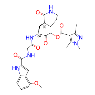 COc1cccc2[nH]c(C(=O)NCC(=O)N[C@@H](C[C@@H]3CCCNC3=O)C(=O)COC(=O)c3c(C)nn(C)c3C)cc12